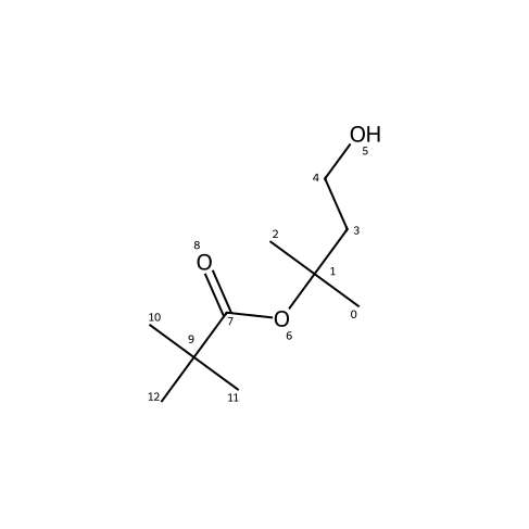 CC(C)(CCO)OC(=O)C(C)(C)C